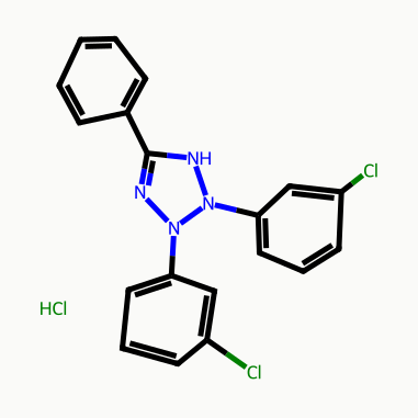 Cl.Clc1cccc(N2N=C(c3ccccc3)NN2c2cccc(Cl)c2)c1